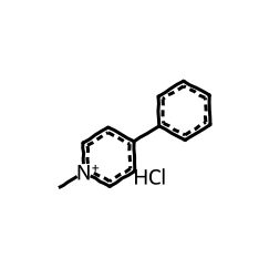 C[n+]1ccc(-c2ccccc2)cc1.Cl